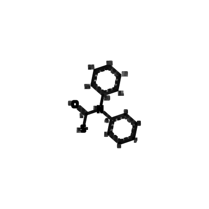 O=C([S])N(c1ccccc1)c1ccccc1